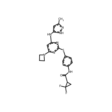 Cc1cc(Nc2cc(N3CCC3)nc(Sc3ccc(NC(=O)C4CC4(F)F)cc3)n2)[nH]n1